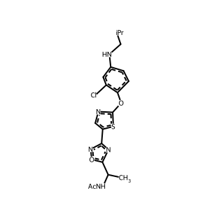 CC(=O)NC(C)c1nc(-c2cnc(Oc3ccc(NCC(C)C)cc3Cl)s2)no1